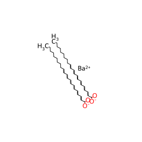 CCCCCCCCC/C=C/C=C/C=C/C=C/C=C/C=C/C(=O)[O-].CCCCCCCCC/C=C/C=C/C=C/C=C/C=C/C=C/C(=O)[O-].[Ba+2]